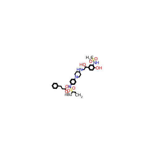 C=CC(CCCC)S(=O)(=O)N(OC(=O)CCc1ccccc1)c1ccc(N2CCC(NC[C@H](O)c3ccc(O)c(NS(C)(=O)=O)c3)CC2)cc1